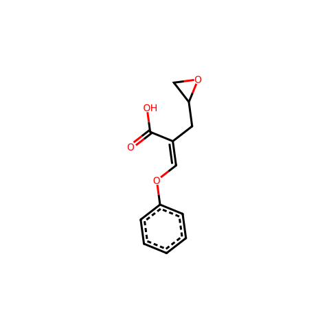 O=C(O)C(=COc1ccccc1)CC1CO1